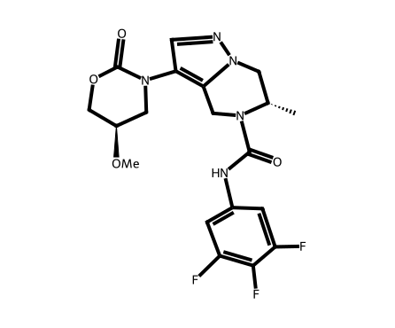 CO[C@H]1COC(=O)N(c2cnn3c2CN(C(=O)Nc2cc(F)c(F)c(F)c2)[C@@H](C)C3)C1